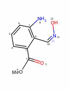 COC(=O)c1cccc(N)c1/C=N\O